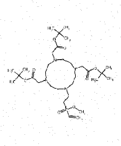 C=CP(=O)(CCN1CCN(CC(=O)OC(C)(C)C)CCN(CC(=O)OC(C)(C)C)CCN(CC(=O)OC(C)(C)C)CC1)OC